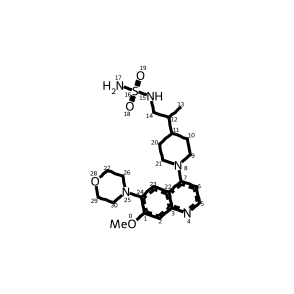 COc1cc2nccc(N3CCC(C(C)CNS(N)(=O)=O)CC3)c2cc1N1CCOCC1